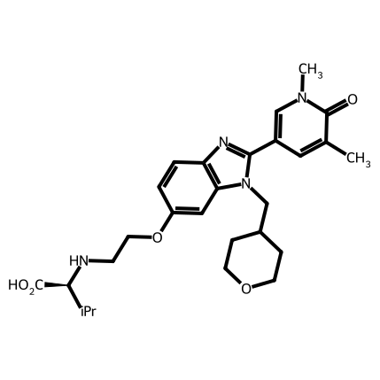 Cc1cc(-c2nc3ccc(OCCN[C@H](C(=O)O)C(C)C)cc3n2CC2CCOCC2)cn(C)c1=O